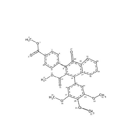 COC(=O)c1ccc(-n2c(C(=O)OC)c(-c3cc(OC)c(OC)c(OC)c3)c3ccccc3c2=O)cc1